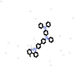 CC1C=CC=CC1c1ccccc1Nc1ccc(-c2ccc(N(c3ccccc3)c3ccc(N(c4ccccc4)c4ccccc4)cc3)cc2)cc1